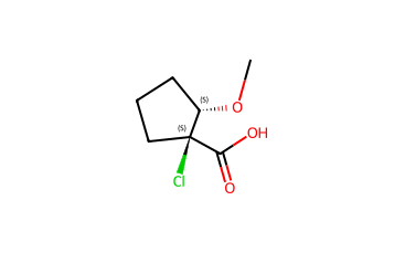 CO[C@H]1CCC[C@@]1(Cl)C(=O)O